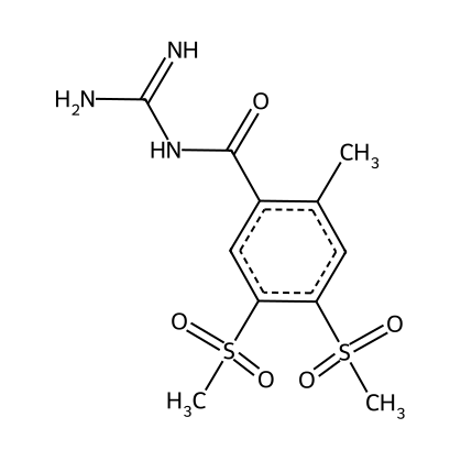 Cc1cc(S(C)(=O)=O)c(S(C)(=O)=O)cc1C(=O)NC(=N)N